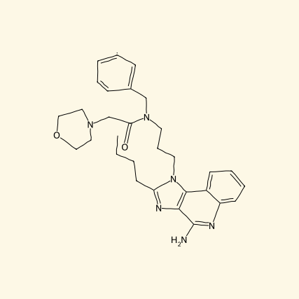 CCCCc1nc2c(N)nc3ccccc3c2n1CCCN(Cc1c[c]ccc1)C(=O)CN1CCOCC1